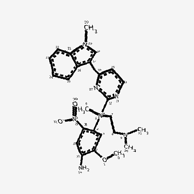 COc1cc([N+](C)(CCN(C)C)c2nccc(-c3cn(C)c4ccccc34)n2)c([N+](=O)[O-])cc1N